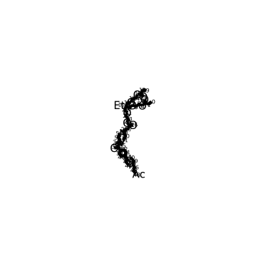 C=CC(=O)OCCOCC(CC)(COCCOC(=O)C=C)COCCOC(=O)CCN1CCN(C(C)(C)C(=O)c2ccc(N3CCN(CCC(C)=O)CC3)cc2)CC1